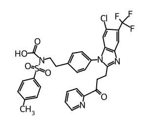 Cc1ccc(S(=O)(=O)N(CCc2ccc(-n3c(CCC(=O)c4ccccn4)nc4cc(C(F)(F)F)c(Cl)cc43)cc2)C(=O)O)cc1